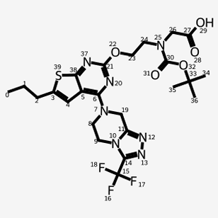 CCCc1cc2c(N3CCn4c(nnc4C(F)(F)F)C3)nc(OCCN(CC(=O)O)C(=O)OC(C)(C)C)nc2s1